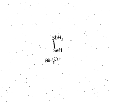 [BiH3].[Cu].[SeH][SbH2]